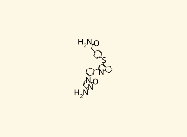 NC(=O)Cc1ccc(Sc2cc(-c3cccc(-n4ccc(N)nc4=O)c3)nc3c2CCC3)cc1